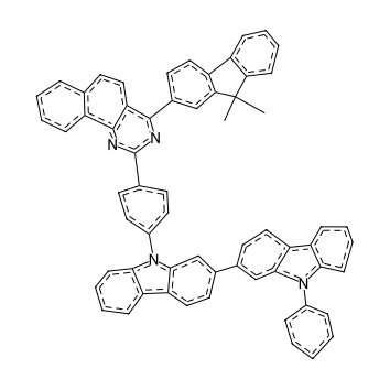 CC1(C)c2ccccc2-c2ccc(-c3nc(-c4ccc(-n5c6ccccc6c6ccc(-c7ccc8c9ccccc9n(-c9ccccc9)c8c7)cc65)cc4)nc4c3ccc3ccccc34)cc21